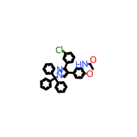 O=C1COc2ccc(-c3cn(C(c4ccccc4)(c4ccccc4)c4ccccc4)nc3-c3cccc(Cl)c3)cc2N1